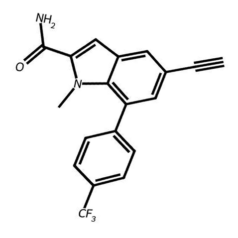 C#Cc1cc(-c2ccc(C(F)(F)F)cc2)c2c(c1)cc(C(N)=O)n2C